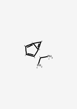 PCP.c1cc2cc-2c1